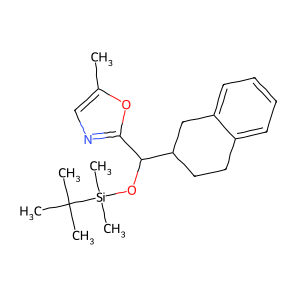 Cc1cnc(C(O[Si](C)(C)C(C)(C)C)C2CCc3ccccc3C2)o1